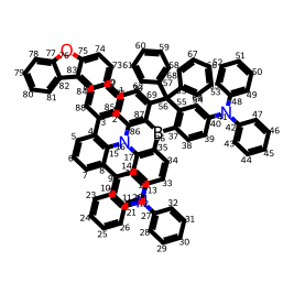 c1ccc(-c2cccc(-c3ccccc3)c2N2c3cc(N(c4ccccc4)c4ccccc4)ccc3B3c4ccc(N(c5ccccc5)c5ccccc5)cc4C(c4ccccc4)(c4ccccc4)c4cc(-c5ccc6oc7ccccc7c6c5)cc2c43)cc1